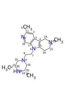 Cc1cc2c3c(n(CCN4C[C@@H](C)N[C@@H](C)C4)c2cn1)CCN(C)C3